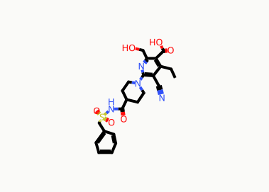 CCc1c(C#N)c(N2CCC(C(=O)NS(=O)(=O)Cc3ccccc3)CC2)nc(CO)c1C(=O)O